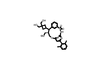 Cc1cccc(C)c1-c1cc2nc(n1)NS(=O)(=O)c1cccc(c1)C(C1CC(CO)(CO)C1)[C@H](CC(C)(C)C)CO2